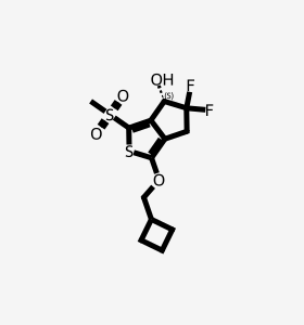 CS(=O)(=O)c1sc(OCC2CCC2)c2c1[C@H](O)C(F)(F)C2